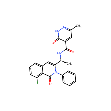 Cc1cc(C(=O)N[C@@H](C)c2cc3cccc(Cl)c3c(=O)n2-c2ccccc2)c(=O)[nH]n1